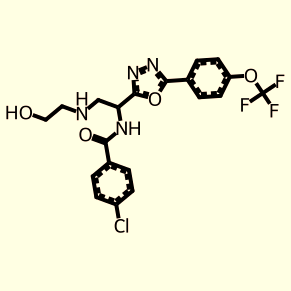 O=C(NC(CNCCO)c1nnc(-c2ccc(OC(F)(F)F)cc2)o1)c1ccc(Cl)cc1